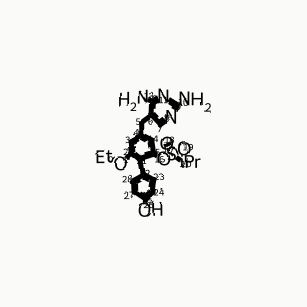 CCOc1cc(Cc2cnc(N)nc2N)cc(OS(=O)(=O)C(C)C)c1-c1ccc(O)cc1